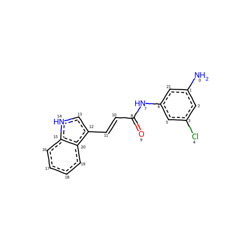 Nc1cc(Cl)cc(NC(=O)C=Cc2c[nH]c3ccccc23)c1